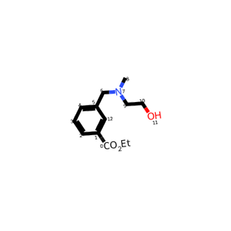 CCOC(=O)c1cccc(CN(C)CCO)c1